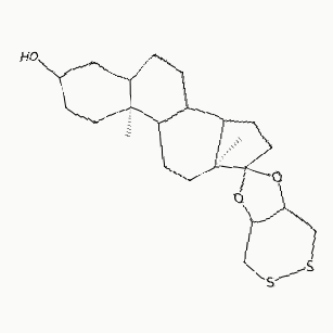 C[C@]12CCC(O)CC1CCC1C2CC[C@@]2(C)C1CCC21OC2CSSCC2O1